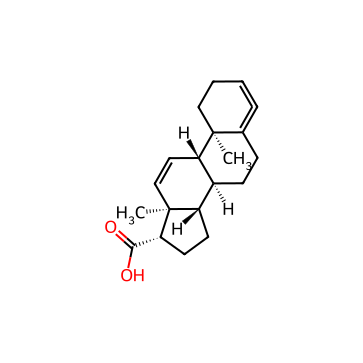 C[C@]12C=C[C@H]3[C@@H](CCC4=C=CCC[C@@]43C)[C@@H]1CC[C@@H]2C(=O)O